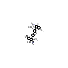 [H]/N=N/c1c(S(=O)(=O)O)c(-c2ccc(-c3ccc(-c4c(S(=O)(=O)O)c(/N=N/[H])c(O)c5ccc(N)cc45)cc3C)c(C)c2)c2cc(N)ccc2c1O